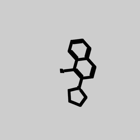 Brc1c(N2CCCC2)ccc2ccccc12